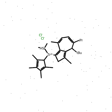 CC1=CC=C(C(C)C)C(C(C)(C)C)C2=C(C)C[C]([Zr+2]([CH]3C(C)=C(C)C(C)=C3C)[SiH](C)C)=C12.[Cl-].[Cl-]